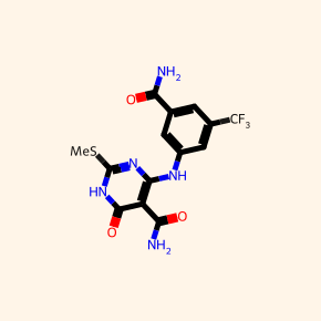 CSc1nc(Nc2cc(C(N)=O)cc(C(F)(F)F)c2)c(C(N)=O)c(=O)[nH]1